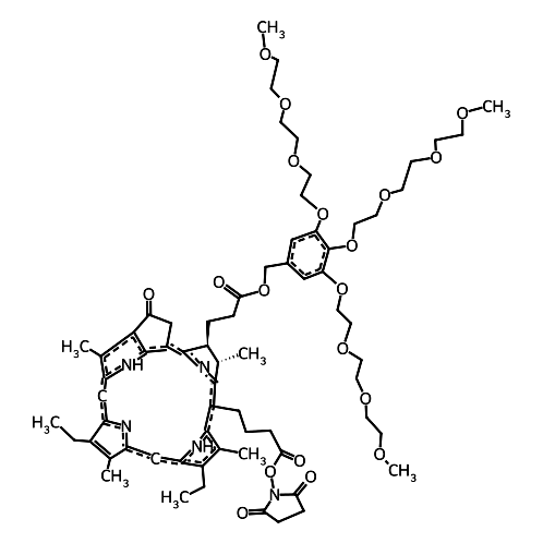 CCC1=C(C)c2cc3[nH]c(c(C)c3CC)c(CCCC(=O)ON3C(=O)CCC3=O)c3nc(c4c5[nH]c(cc1n2)c(C)c5C(=O)C4)[C@@H](CCC(=O)OCc1cc(OCCOCCOCCOC)c(OCCOCCOCCOC)c(OCCOCCOCCOC)c1)[C@@H]3C